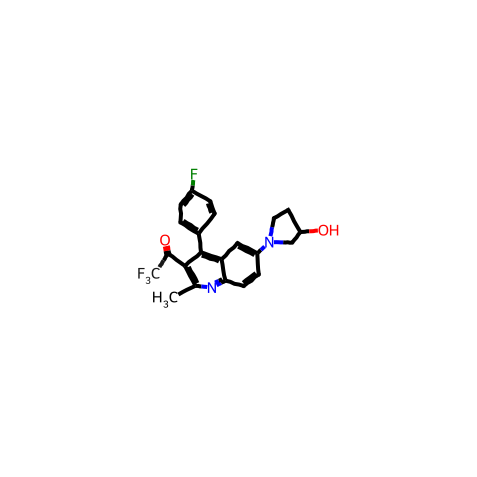 Cc1nc2ccc(N3CCC(O)C3)cc2c(-c2ccc(F)cc2)c1C(=O)C(F)(F)F